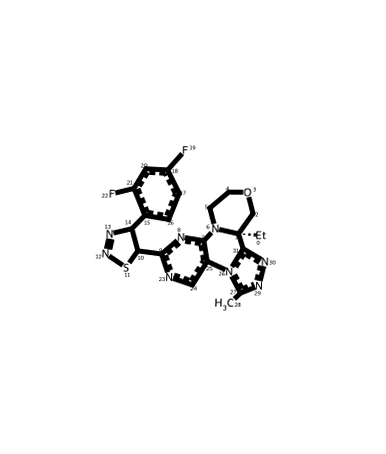 CC[C@@]12COCCN1c1nc(C3SN=NC3c3ccc(F)cc3F)ncc1-n1c(C)nnc12